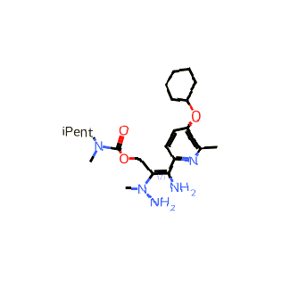 CCCC(C)N(C)C(=O)OC/C(=C(/N)c1ccc(OC2CCCCC2)c(C)n1)N(C)N